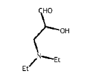 CCN(CC)CC(O)C=O